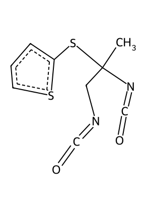 CC(CN=C=O)(N=C=O)Sc1cccs1